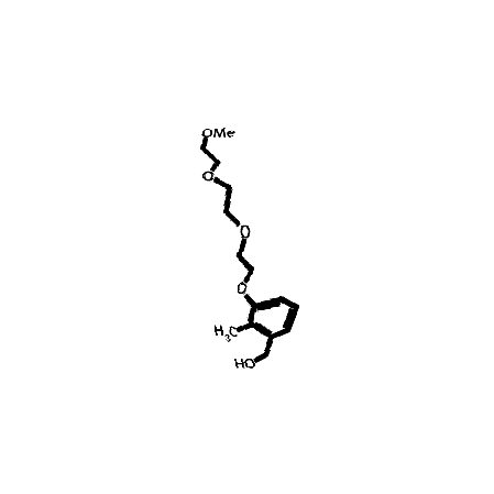 COCCOCCOCCOc1cccc(CO)c1C